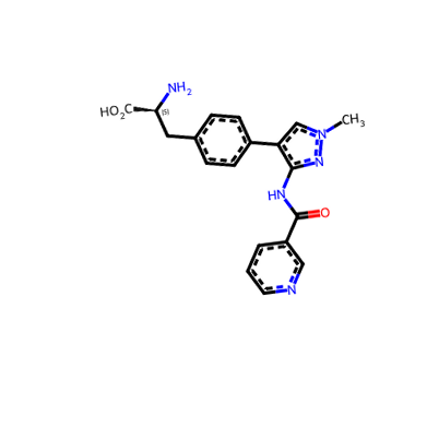 Cn1cc(-c2ccc(C[C@H](N)C(=O)O)cc2)c(NC(=O)c2cccnc2)n1